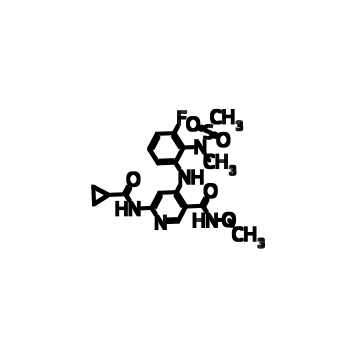 CONC(=O)c1cnc(NC(=O)C2CC2)cc1Nc1cccc(F)c1N(C)S(C)(=O)=O